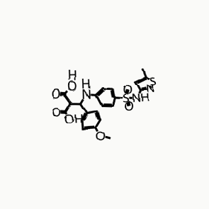 COc1ccc(C(Nc2ccc(S(=O)(=O)Nc3cc(C)sn3)cc2)C(C(=O)O)C(=O)O)cc1